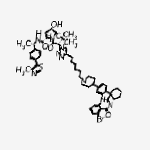 Cc1ncsc1-c1ccc([C@H](C)NC(=O)[C@@H]2C[C@@H](O)CN2C(=O)[C@@H](n2cc(CCCCCCN3CCC(c4ccc5c(c4)-n4c(nc(=O)c6c(Br)cccc64)C54CCCCC4)CC3)nn2)C(C)(C)C)cc1